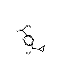 C[C@H](c1ccc(C(N)=O)nc1)C1CC1